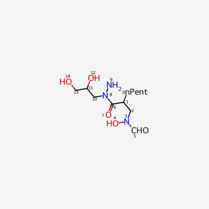 CCCCCC(CN(O)C=O)C(=O)N(N)CC(O)CO